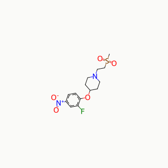 CS(=O)(=O)CCN1CCC(Oc2ccc([N+](=O)[O-])cc2F)CC1